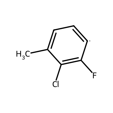 Cc1cc[c]c(F)c1Cl